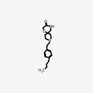 CCCCc1ccc(CCN2CCC3(CC2)CNC(=O)CO3)cc1